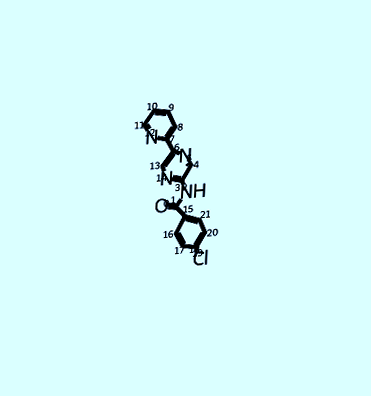 O=C(Nc1cnc(-c2ccccn2)cn1)c1ccc(Cl)cc1